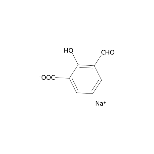 O=Cc1cccc(C(=O)[O-])c1O.[Na+]